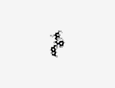 Cc1cc(N)nc(C)c1CNC(=O)/C(NCc1ccc2ncc(Cl)cc2c1)=C1\C=CC=CC1=N